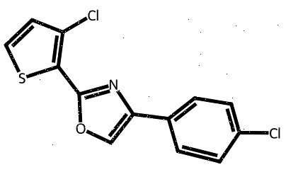 Clc1ccc(-c2coc(-c3sccc3Cl)n2)cc1